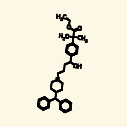 CCOC(=O)C(C)(C)c1ccc(C(O)CCCN2CCC(C(c3ccccc3)c3ccccc3)CC2)cc1